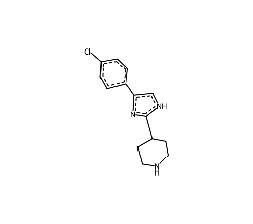 Clc1ccc(-c2c[nH]c(C3CCNCC3)n2)cc1